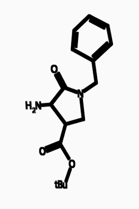 CC(C)(C)OC(=O)C1CN(Cc2ccccc2)C(=O)C1N